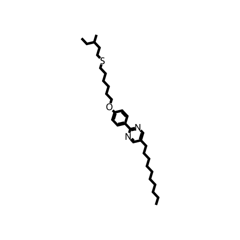 CCCCCCCCCCc1cnc(-c2ccc(OCCCCCCSCCC(C)CC)cc2)nc1